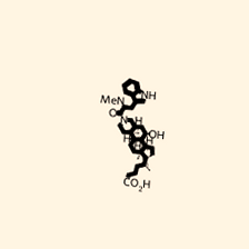 CN[C@@H](Cc1c[nH]c2ccccc12)C(=O)N1CC[C@@]2(C)[C@H](C[C@H](O)[C@@H]3[C@@H]2CC[C@]2(C)[C@@H]([C@H](C)CCCC(=O)O)CC[C@@H]32)C1